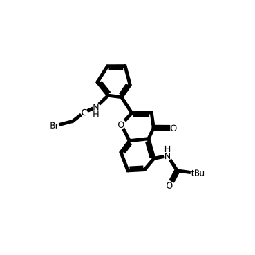 CC(C)(C)C(=O)Nc1cccc2oc(-c3ccccc3NCCBr)cc(=O)c12